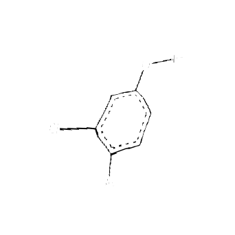 CCOc1ccc(C(C)=O)c(Cl)c1